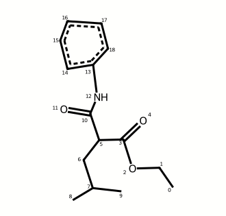 CCOC(=O)C(CC(C)C)C(=O)Nc1ccccc1